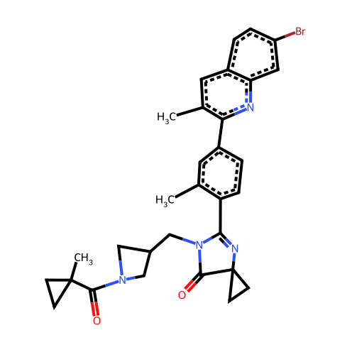 Cc1cc(-c2nc3cc(Br)ccc3cc2C)ccc1C1=NC2(CC2)C(=O)N1CC1CN(C(=O)C2(C)CC2)C1